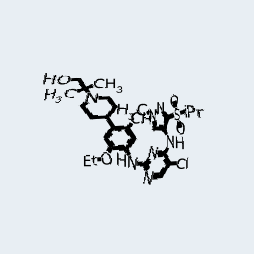 CCOc1cc(C2CCN(C(C)(C)CO)CC2)c(C)cc1Nc1ncc(Cl)c(Nc2cn(C)nc2S(=O)(=O)C(C)C)n1